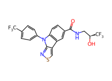 O=C(NC[C@H](O)C(F)(F)F)c1ccc2c(c1)c1csnc1n2-c1ccc(C(F)(F)F)cc1